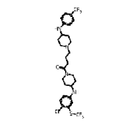 O=C(CCCN1CCC(Nc2ccc(C(F)(F)F)cc2)CC1)N1CCC(Nc2ccc(Cl)c(SC(F)(F)F)c2)CC1